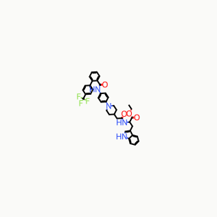 CCOC(=O)C(Cc1c[nH]c2ccccc12)NC(=O)CC1CCN(c2ccc(NC(=O)c3ccccc3-c3ccc(C(F)(F)F)cc3)cc2)CC1